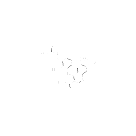 COc1cc2ncc(C(N)=O)c(Nc3cccc(CNC(=O)OC(C)(C)C)c3C)c2cc1OC